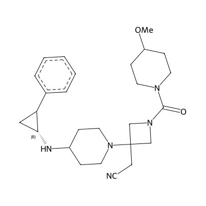 COC1CCN(C(=O)N2CC(CC#N)(N3CCC(N[C@@H]4CC4c4ccccc4)CC3)C2)CC1